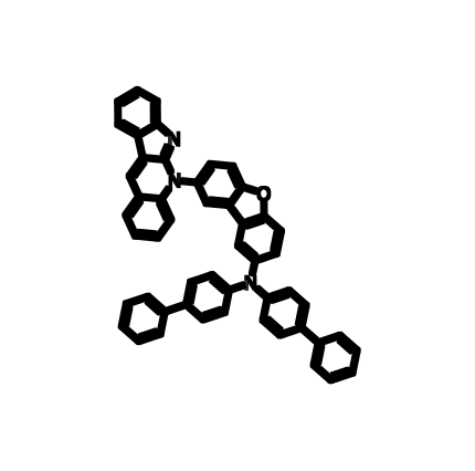 c1ccc(-c2ccc(N(c3ccc(-c4ccccc4)cc3)c3ccc4oc5ccc(-n6c7nc8ccccc8c-7cc7ccccc76)cc5c4c3)cc2)cc1